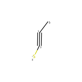 [CH2]C#C[S]